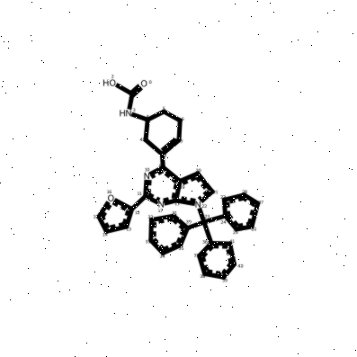 O=C(O)NC1CCC=C(c2nc(-c3ccco3)nc3c2ccn3C(c2ccccc2)(c2ccccc2)c2ccccc2)C1